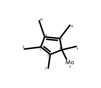 CC1=C(C)[C](C)([Mo])C(C)=C1C